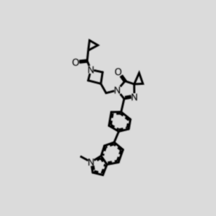 Cn1ccc2ccc(-c3ccc(C4=NC5(CC5)C(=O)N4CC4CN(C(=O)C5CC5)C4)cc3)cc21